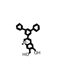 C[n+]1cc(-c2cc(-c3ccccc3)cc(-c3ccccc3)c2)cc2cc(CO)c(CO)cc21